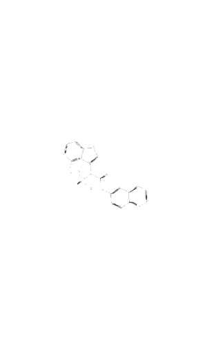 O=C(Nc1ccc2ccccc2c1)C(c1csc2cccc(Br)c12)P(=O)(O)O